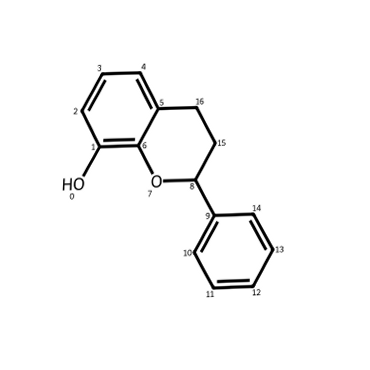 Oc1cccc2c1OC(c1ccccc1)CC2